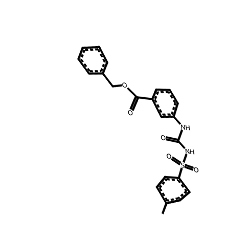 Cc1ccc(S(=O)(=O)NC(=O)Nc2cccc(C(=O)OCc3ccccc3)c2)cc1